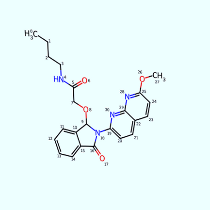 CCCCNC(=O)COC1c2ccccc2C(=O)N1c1ccc2ccc(OC)nc2n1